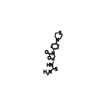 NC(=S)NC[C@H]1CN(c2ccc(N3CCSCC3)cc2)C(=O)O1